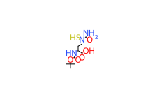 CC(C)(C)OC(=O)NC(CCN(S)C(N)=O)C(=O)O